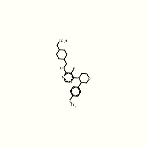 O=C(O)CC1CCC(CNc2ncnc(N3CCOCC3c3ccc(OC(F)(F)F)cc3)c2F)CC1